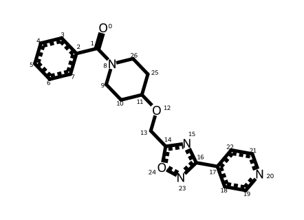 O=C(c1ccccc1)N1CCC(OCc2nc(-c3ccncc3)no2)CC1